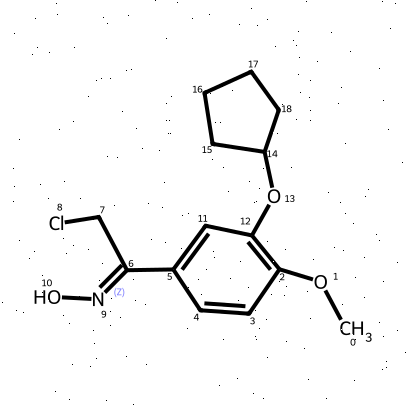 COc1ccc(/C(CCl)=N/O)cc1OC1CCCC1